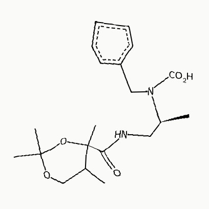 CC1COC(C)(C)OC1(C)C(=O)NC[C@H](C)N(Cc1ccccc1)C(=O)O